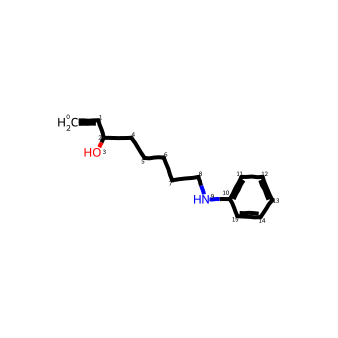 C=CC(O)CCCCCNc1ccccc1